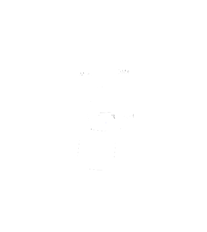 COc1cc2c(cc1OC)C1(C)CCCCCC(C2)/C1=N\O